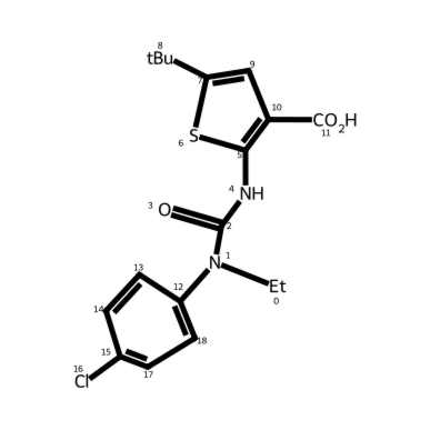 CCN(C(=O)Nc1sc(C(C)(C)C)cc1C(=O)O)c1ccc(Cl)cc1